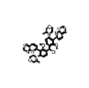 COc1c(C(O)c2ccc(N3CCOCC3C)c(-c3ccc4cncnc4n3)c2OC)ccc(N2CCOCC2C)c1-c1ccc2cncnc2n1